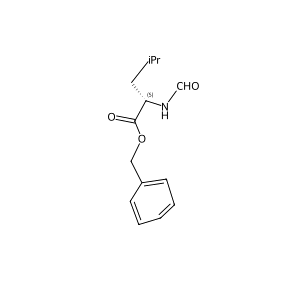 CC(C)C[C@H](NC=O)C(=O)OCc1ccccc1